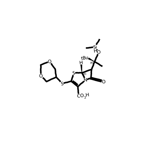 C[SiH](C)O[C@](C)(C1C(=O)N2C(C(=O)O)=C(SC3COCOC3)S[C@H]12)C(C)(C)C